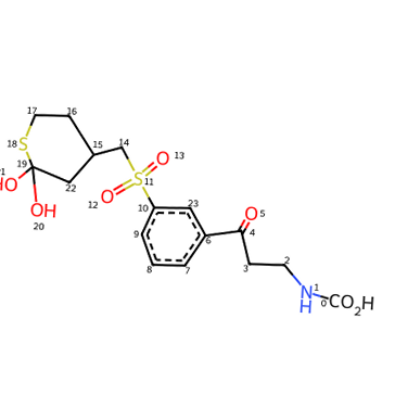 O=C(O)NCCC(=O)c1cccc(S(=O)(=O)CC2CCSC(O)(O)C2)c1